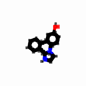 Oc1ccc2c(c1)c1ccccc1c1nccn21